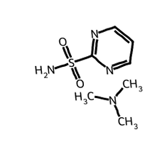 CN(C)C.NS(=O)(=O)c1ncccn1